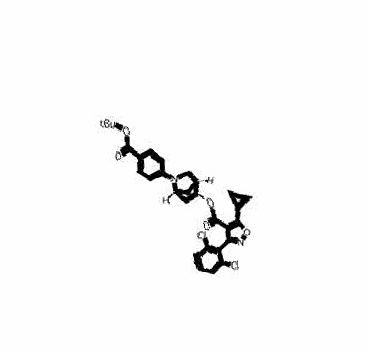 CC(C)(C)OC(=O)c1ccc(N2C[C@@H]3C[C@H]2C[C@H]3OC(=O)c2c(-c3c(Cl)cccc3Cl)noc2C2CC2)cc1